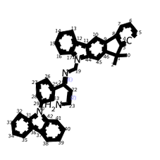 CC1(C)c2ccccc2-c2cc3c4ccccc4n(C/N=C(\C=C/N)c4cccc(-n5c6ccccc6c6ccccc65)c4)c3cc21